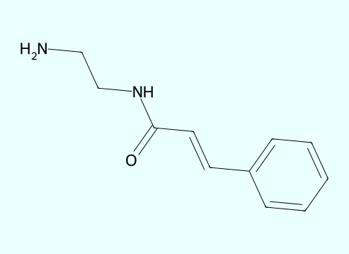 NCCNC(=O)C=Cc1ccccc1